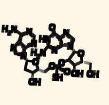 Nc1nc2c(ncn2[C@@H]2O[C@H](CO)C(O)C2OP(=O)(S)OC[C@H]2O[C@@H](n3cnc4c(N)ncnc43)CC2O)c(=O)[nH]1